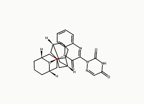 O=c1cnn(-c2nc3ccccc3n([C@H]3C[C@H]4CCC[C@@H](C3)N4[C@@]34C[C@@H]5CCC3[C@@H](C5)C4)c2=O)c(=O)[nH]1